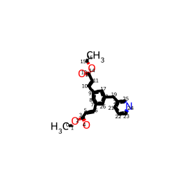 CCOC(=O)C=Cc1cc(C=CC(=O)OCC)cc(Cc2cccnc2)c1